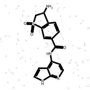 NC1CS(=O)(=O)c2cc(C(=O)Nc3ccnc4[nH]ccc34)ccc21